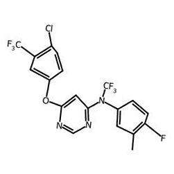 Cc1cc(N(c2cc(Oc3ccc(Cl)c(C(F)(F)F)c3)ncn2)C(F)(F)F)ccc1F